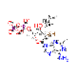 Cc1nc(N)c2ncn([C@@H]3O[C@H](COP(=O)([O-])OP(=O)([O-])[O-])[C@@H](O)[C@H]3S)c2n1.[Na+].[Na+].[Na+]